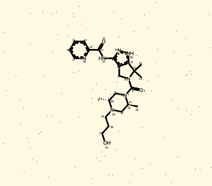 C[C@@H]1CN(C(=O)N2Cc3c(NC(=O)c4ccccn4)n[nH]c3C2(C)C)[C@@H](C)CN1CCCO